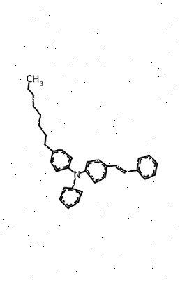 CCCCCCCCc1ccc(N(c2ccccc2)c2ccc(/C=C/c3ccccc3)cc2)cc1